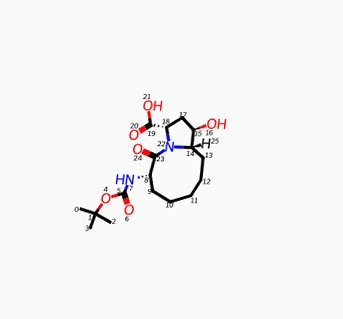 CC(C)(C)OC(=O)N[C@H]1CCCCC[C@H]2[C@H](O)C[C@@H](C(=O)O)N2C1=O